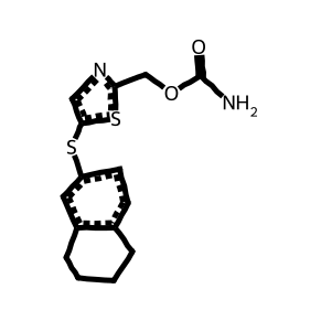 NC(=O)OCc1ncc(Sc2ccc3c(c2)CCCC3)s1